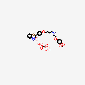 CN(CCCCOc1ccc(C2Sc3ccccc3N(C)C2=O)cc1)CCOc1ccc2c(c1)OCO2.O=C(O)C(=O)O